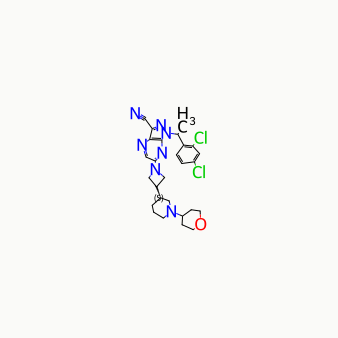 CC(c1ccc(Cl)cc1Cl)n1nc(C#N)c2ncc(N3CC([C@@H]4CCCN(C5CCOCC5)C4)C3)nc21